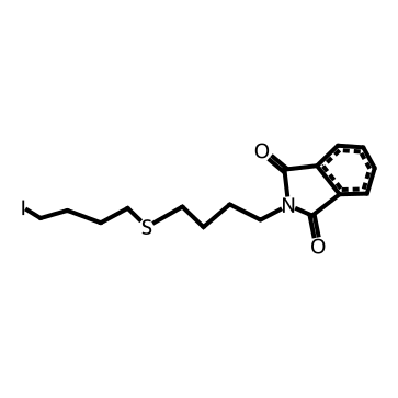 O=C1c2ccccc2C(=O)N1CCCCSCCCCI